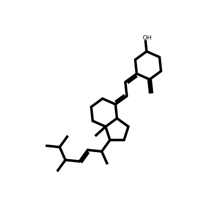 C=C1CCC(O)C/C1=C/C=C1\CCCC2(C)C1CCC2C(C)/C=C/C(C)C(C)C